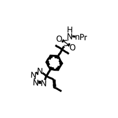 CC=CC1(c2ccc(C(C)(C)S(=O)(=O)NCCC)cc2)N=NN=N1